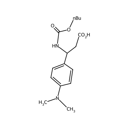 CCCCOC(=O)NC(CC(=O)O)c1ccc(N(C)C)cc1